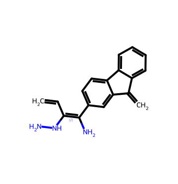 C=C/C(NN)=C(/N)c1ccc2c(c1)C(=C)c1ccccc1-2